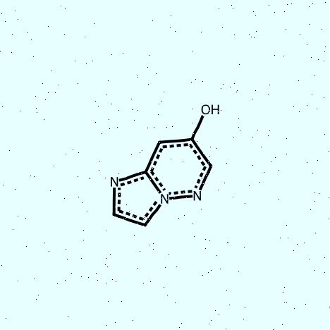 Oc1cnn2ccnc2c1